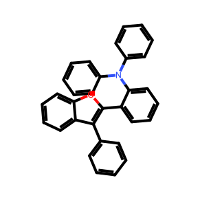 c1ccc(-c2c(-c3ccccc3N(c3ccccc3)c3ccccc3)oc3ccccc23)cc1